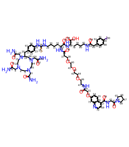 NC(=O)CN1CCN(CC(N)=O)CCN(CC(N)=O)C(Cc2ccc(NC(=S)NCCCC[C@H](NC(=O)CCOCCOCCOCCNC(=O)COc3ccc4c(C(=O)NCC(=O)N5CCCC5)ccnc4c3)C(=O)N[C@@H](CCCCNC(=O)Cc3ccc(I)cc3)C(=O)O)cc2)CN(CC(N)=O)CC1